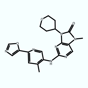 Cc1cc(-c2cnco2)ncc1Nc1ncc2c(n1)n(C1CCOCC1)c(=O)n2C